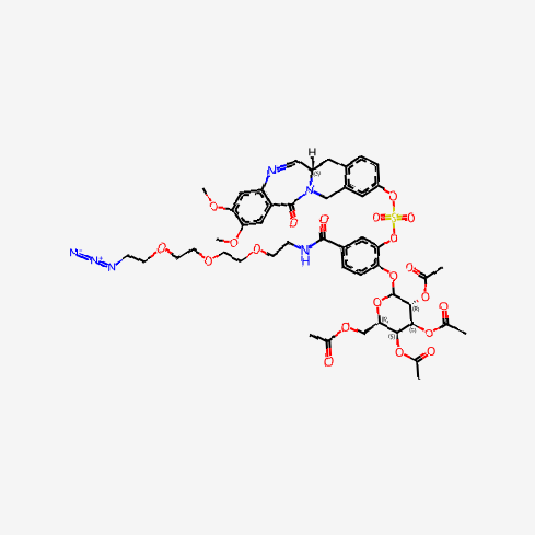 COc1cc2c(cc1OC)C(=O)N1Cc3cc(OS(=O)(=O)Oc4cc(C(=O)NCCOCCOCCOCCN=[N+]=[N-])ccc4OC4O[C@H](COC(C)=O)[C@H](OC(C)=O)[C@H](OC(C)=O)[C@H]4OC(C)=O)ccc3C[C@H]1C=N2